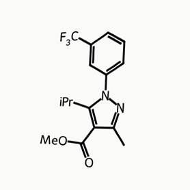 COC(=O)c1c(C)nn(-c2cccc(C(F)(F)F)c2)c1C(C)C